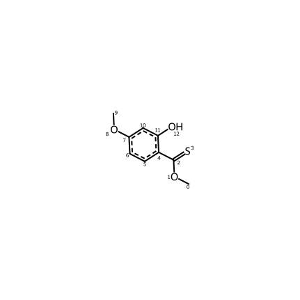 COC(=S)c1ccc(OC)cc1O